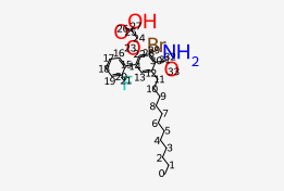 CCCCCCCCCCCCc1cc(-c2ccccc2F)c(OCC(=O)O)c(Br)c1C(N)=O